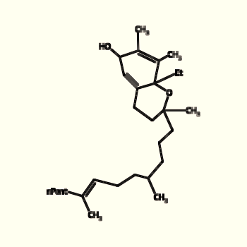 CCCCC/C(C)=C/CCC(C)CCCC1(C)CCC2=CC(O)C(C)=C(C)C2(CC)O1